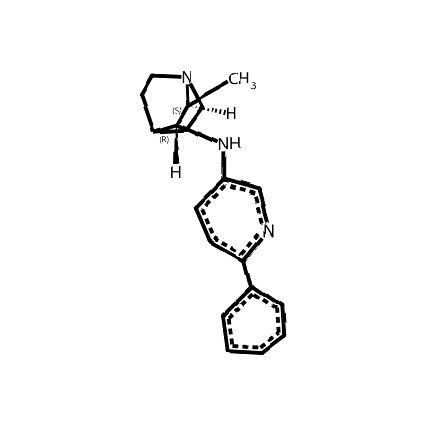 C[C@H]1[C@H](Nc2ccc(-c3ccccc3)nc2)C2CCN1CC2